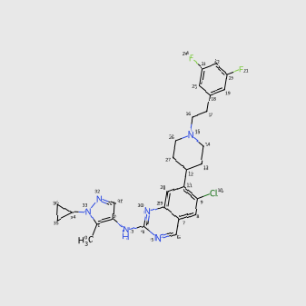 Cc1c(Nc2ncc3cc(Cl)c(C4CCN(CCc5cc(F)cc(F)c5)CC4)cc3n2)cnn1C1CC1